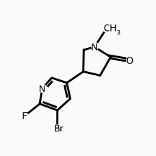 CN1CC(c2cnc(F)c(Br)c2)CC1=O